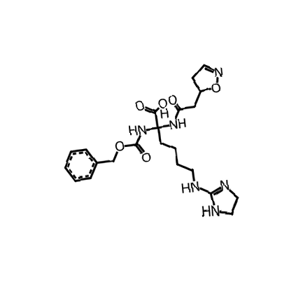 O=C(CC1CC=NO1)NC(CCCCNC1=NCCN1)(NC(=O)OCc1ccccc1)C(=O)O